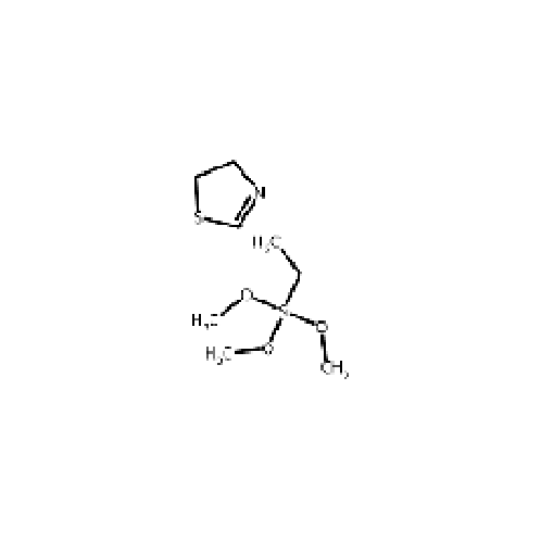 CC[Si](OC)(OC)OC.[C]1=NCCS1